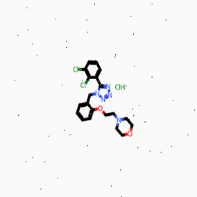 Cl.Clc1cccc(-c2nnnn2Cc2ccccc2OCCN2CCOCC2)c1Cl